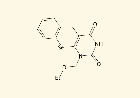 CCOCn1c([Se]c2ccccc2)c(C)c(=O)[nH]c1=O